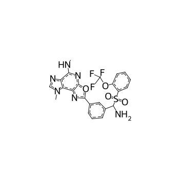 CNc1nc2oc(-c3cccc(C(N)S(=O)(=O)c4ccccc4OC(F)(F)F)c3)nc2c2c1ncn2C